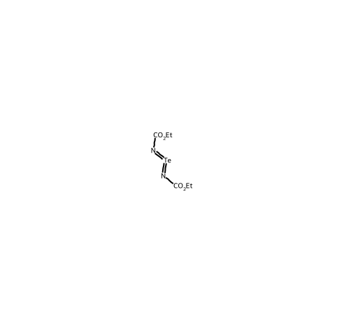 CCOC(=O)N=[Te]=NC(=O)OCC